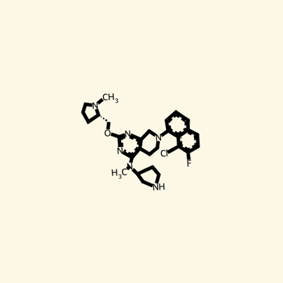 CN(c1nc(OC[C@@H]2CCCN2C)nc2c1CCN(c1cccc3ccc(F)c(Cl)c13)C2)C1CCNC1